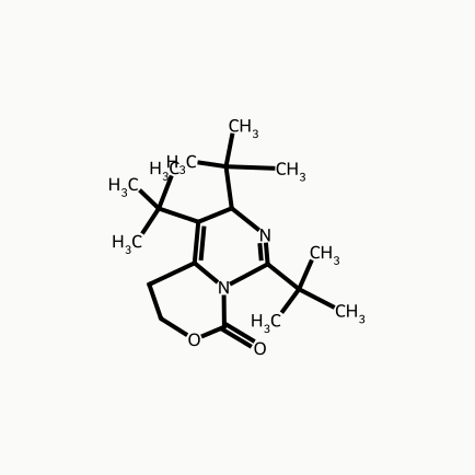 CC(C)(C)C1=NC(C(C)(C)C)C(C(C)(C)C)=C2CCOC(=O)N12